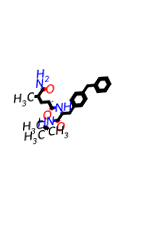 CC(C[CH]C(=O)NC(Cc1ccc(Cc2ccccc2)cc1)C(=O)NC(C)(C)C)C(N)=O